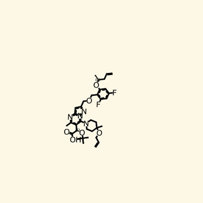 C=CCOC1(C)CCN(c2c([C@H](OC(C)(C)C)C(=O)O)c(C)nc3cc(COCc4c(F)cc(F)cc4O[C@@H](C)CC=C)nn23)CC1